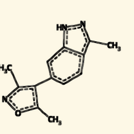 Cc1noc(C)c1-c1ccc2c(C)n[nH]c2c1